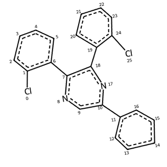 Clc1ccccc1-c1ncc(-c2ccccc2)nc1-c1ccccc1Cl